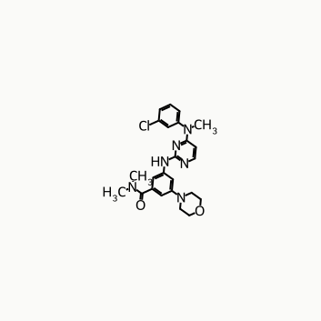 CN(C)C(=O)c1cc(Nc2nccc(N(C)c3cccc(Cl)c3)n2)cc(N2CCOCC2)c1